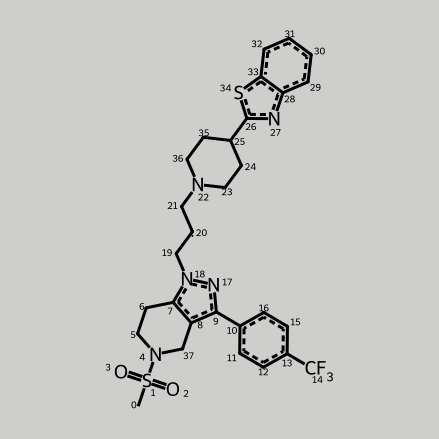 CS(=O)(=O)N1CCc2c(c(-c3ccc(C(F)(F)F)cc3)nn2C[CH]CN2CCC(c3nc4ccccc4s3)CC2)C1